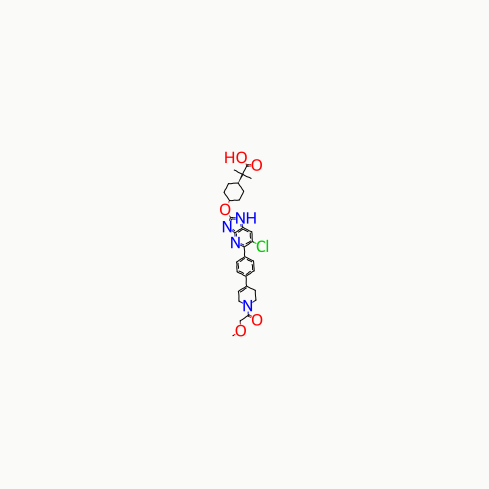 COCC(=O)N1CC=C(c2ccc(-c3nc4nc(O[C@H]5CC[C@H](C(C)(C)C(=O)O)CC5)[nH]c4cc3Cl)cc2)CC1